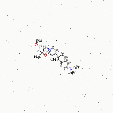 CCCN(CCC)c1ccc2cc(-c3ccnc(OC(C)(C)CCOC(C)(C)C)c3C#N)ccc2c1